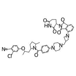 CC(CC1CCC(C)N1C(=O)c1ccc(N2CCN(CC3CN(c4cccc5c4C(=O)N(C4CCC(=O)NC4=O)C5=O)C3)CC2)cc1)Oc1ccc(C#N)c(Cl)c1